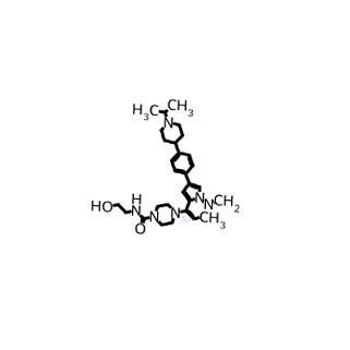 C=Nn1cc(-c2ccc(C3CCN(C(C)C)CC3)cc2)cc1/C(=C\C)N1CCN(C(=O)NCCO)CC1